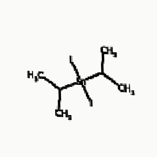 C[CH](C)[Sn]([I])([I])[CH](C)C